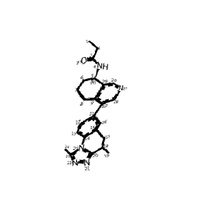 CCC(=O)N[C@@H]1CCCc2c(-c3ccc4c(c3)CC(C)c3nnc(C)n3-4)cncc21